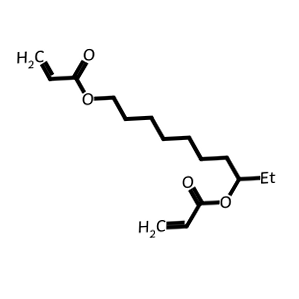 C=CC(=O)OCCCCCCCC(CC)OC(=O)C=C